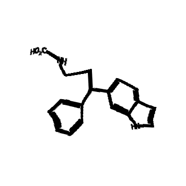 O=C(O)NCCC(c1ccccc1)c1ccc2cc[nH]c2c1